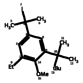 CCc1cc(C(C)(C)I)cc(C(C)(C)C(C)(C)C)c1OC